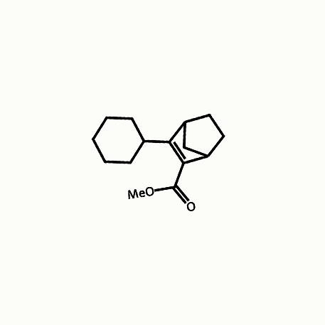 COC(=O)C1=C(C2CCCCC2)C2CCC1C2